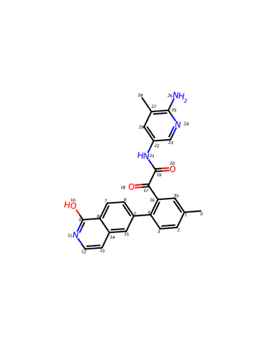 Cc1ccc(-c2ccc3c(O)nccc3c2)c(C(=O)C(=O)Nc2cnc(N)c(C)c2)c1